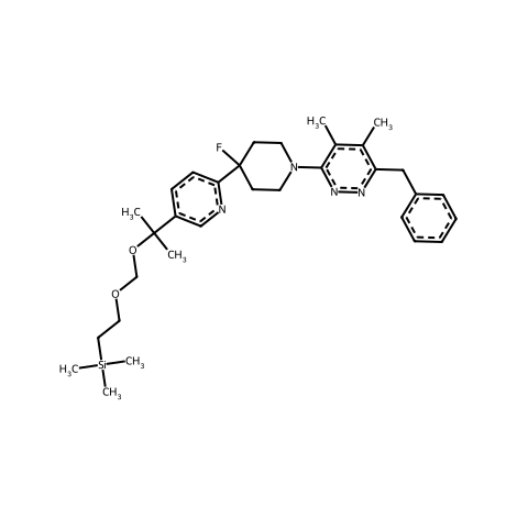 Cc1c(Cc2ccccc2)nnc(N2CCC(F)(c3ccc(C(C)(C)OCOCC[Si](C)(C)C)cn3)CC2)c1C